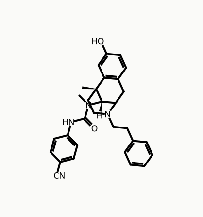 CN(C(=O)Nc1ccc(C#N)cc1)[C@H]1C2Cc3ccc(O)cc3[C@@]1(C)CCN2CCc1ccccc1